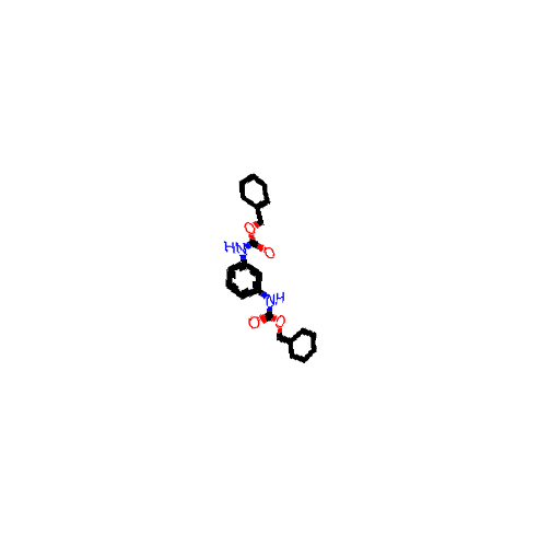 O=C(Nc1cccc(NC(=O)OCC2CCCCC2)c1)OCC1CCCCC1